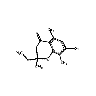 CCC1(C)CC(=O)c2c(O)cc(O)c(C)c2O1